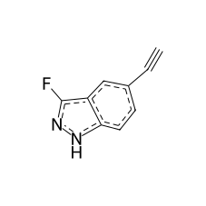 C#Cc1ccc2[nH]nc(F)c2c1